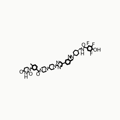 Cc1ccc(C(=O)N2CCN(C3CCN(c4ncc(-c5ccc6cn([C@H]7CC[C@H](CNC(=O)c8cc(F)c(O)c(F)c8F)CC7)nc6c5)cn4)CC3)CC2)cc1N1CCC(=O)NC1=O